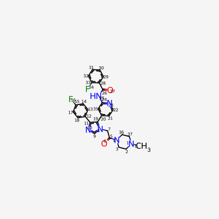 CN1CCN(C(=O)Cn2cnc(-c3ccc(F)cc3)c2-c2ccnc(NC(=O)c3ccccc3F)c2)CC1